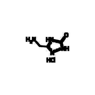 Cl.NCc1n[nH]c(=O)[nH]1